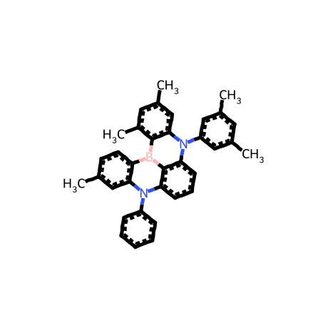 Cc1cc(C)cc(N2c3cc(C)cc(C)c3B3c4ccc(C)cc4N(c4ccccc4)c4cccc2c43)c1